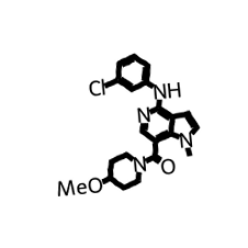 COC1CCN(C(=O)c2cnc(Nc3cccc(Cl)c3)c3ccn(C)c23)CC1